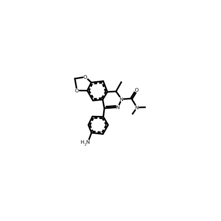 CC1c2cc3c(cc2C(c2ccc(N)cc2)=NN1C(=O)N(C)C)OCO3